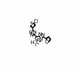 CCn1c(-c2ccco2)nnc1C(S)c1noc(-c2csc(Cl)c2)n1